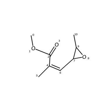 COC(=O)C(C)=CC1OC1C